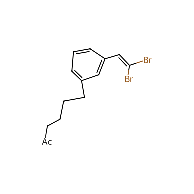 CC(=O)CCCCc1cccc(C=C(Br)Br)c1